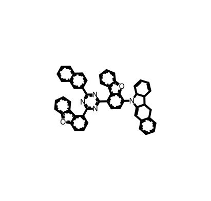 C1=CC2C3Cc4ccccc4C=C3N(c3ccc(-c4nc(-c5ccc6ccccc6c5)nc(-c5cccc6oc7ccccc7c56)n4)c4c3oc3ccccc34)C2C=C1